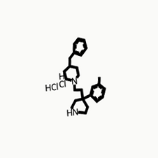 Cc1cccc(C2(CCN3CCC(Cc4ccccc4)CC3)CCNCC2)c1.Cl.Cl